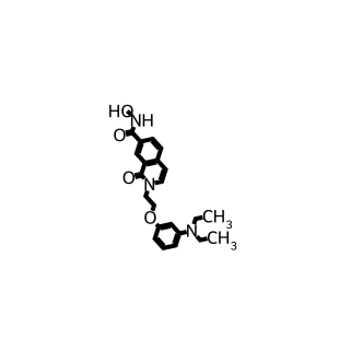 CCN(CC)c1cccc(OCCn2ccc3ccc(C(=O)NO)cc3c2=O)c1